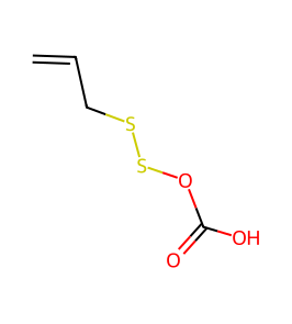 C=CCSSOC(=O)O